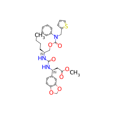 CCCC[C@@H](COC(=O)N(Cc1cccs1)c1ccccc1)NC(=O)N[C@@H](CC(=O)OC)c1ccc2c(c1)OCO2